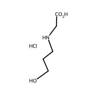 Cl.O=C(O)CNCCCO